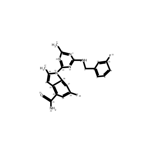 Cc1nc(NCc2cccc(F)c2)nc(-n2c(C)cc3c(C(N)=O)cc(F)cc32)n1